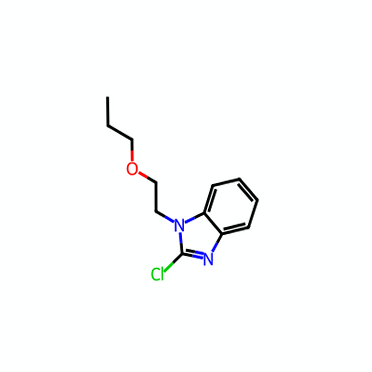 CCCOCCn1c(Cl)nc2ccccc21